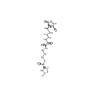 CC1CCN(C(=O)CCCCCNC(=O)CCCCCN2C(=O)C=CC2=O)C1